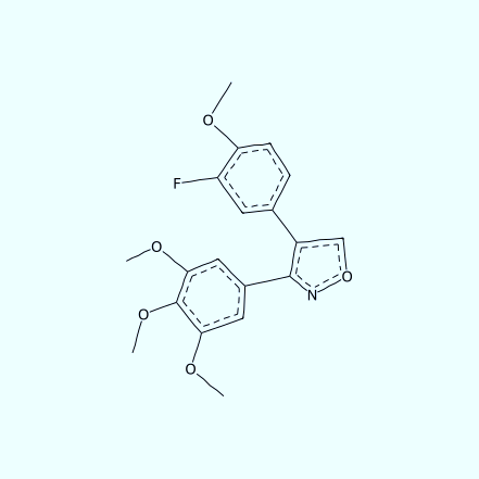 COc1ccc(-c2conc2-c2cc(OC)c(OC)c(OC)c2)cc1F